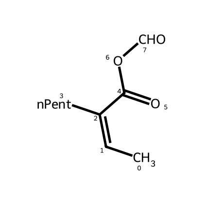 CC=C(CCCCC)C(=O)OC=O